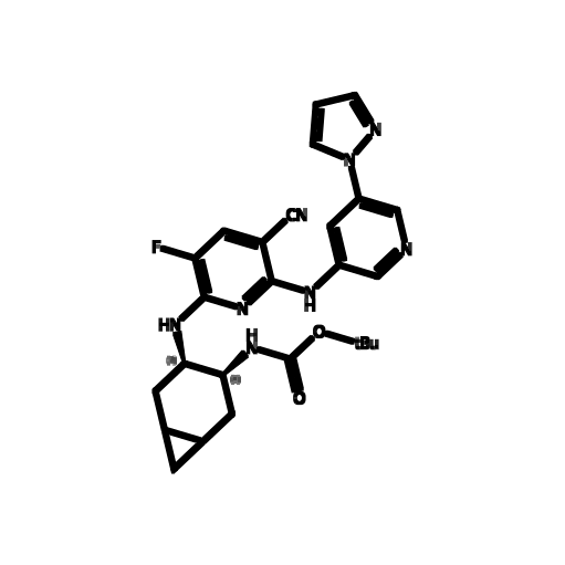 CC(C)(C)OC(=O)N[C@H]1CC2CC2C[C@H]1Nc1nc(Nc2cncc(-n3cccn3)c2)c(C#N)cc1F